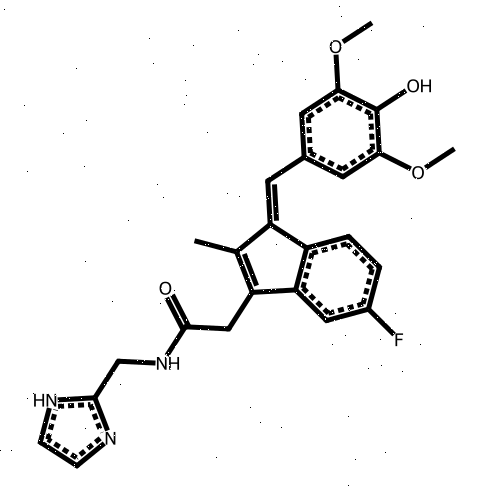 COc1cc(/C=C2/C(C)=C(CC(=O)NCc3ncc[nH]3)c3cc(F)ccc32)cc(OC)c1O